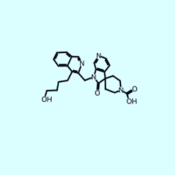 O=C(O)N1CCC2(CC1)C(=O)N(Cc1ncc3ccccc3c1CCCCO)c1cnccc12